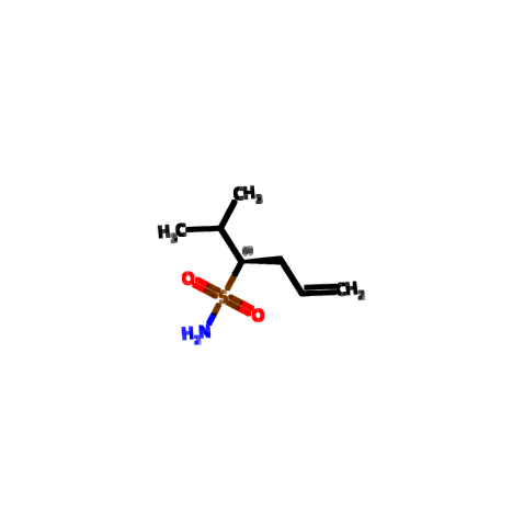 C=CC[C@H](C(C)C)S(N)(=O)=O